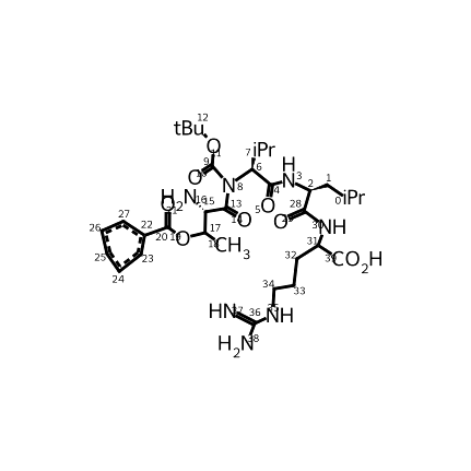 CC(C)C[C@H](NC(=O)[C@H](C(C)C)N(C(=O)OC(C)(C)C)C(=O)[C@@H](N)C(C)OC(=O)c1ccccc1)C(=O)NC(CCCNC(=N)N)C(=O)O